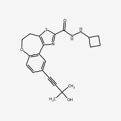 CC(C)(O)C#Cc1ccc2c(c1)-c1nc(C(=O)NNC3CCC3)sc1CCO2